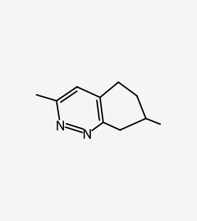 Cc1cc2c(nn1)CC(C)CC2